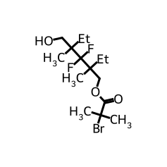 CCC(C)(CO)C(F)(F)C(C)(CC)COC(=O)C(C)(C)Br